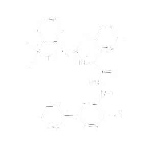 Cc1ccc(-c2ccccc2)cc1NNC(=O)C(NC(=S)Nc1ccccc1C(F)(F)F)c1ccccc1